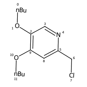 CCCCOc1cnc(CCl)cc1OCCCC